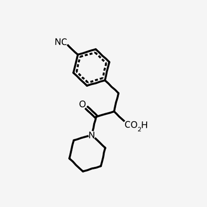 N#Cc1ccc(CC(C(=O)O)C(=O)N2CCCCC2)cc1